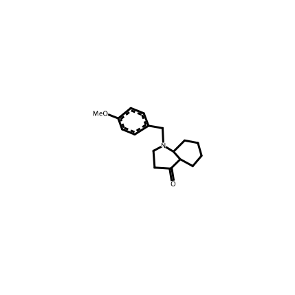 COc1ccc(CN2CCC(=O)C3CCCCC32)cc1